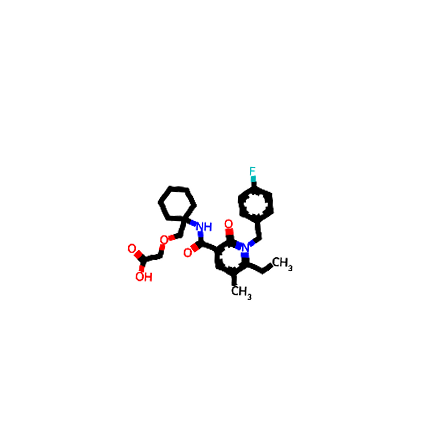 CCc1c(C)cc(C(=O)NC2(COCC(=O)O)CCCCC2)c(=O)n1Cc1ccc(F)cc1